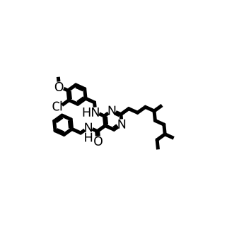 CCC(C)CCC(C)CCCc1ncc(C(=O)NCc2ccccc2)c(NCc2ccc(OC)c(Cl)c2)n1